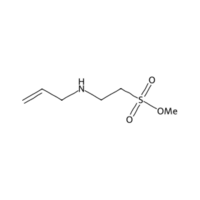 C=CCNCCS(=O)(=O)OC